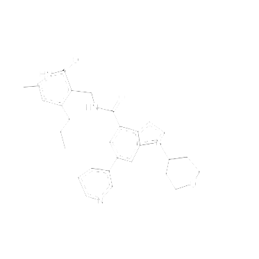 CCCc1cc(C)[nH]c(=O)c1CNC(=O)c1cc(-c2cccnc2)cc2c1ccn2C1CCOCC1